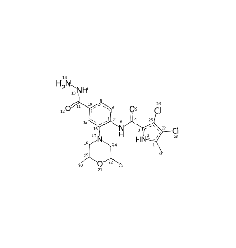 Cc1[nH]c(C(=O)Nc2ccc(C(=O)NN)cc2N2CC(C)OC(C)C2)c(Cl)c1Cl